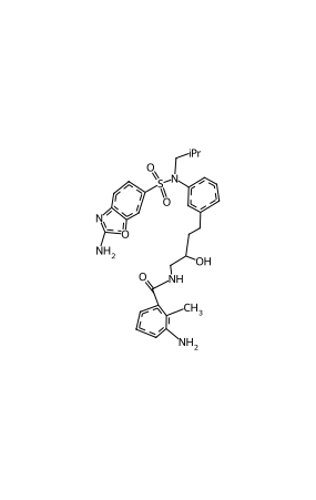 Cc1c(N)cccc1C(=O)NCC(O)CCc1cccc(N(CC(C)C)S(=O)(=O)c2ccc3nc(N)oc3c2)c1